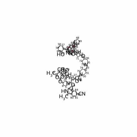 CC(NC(=O)[C@@H]1C[C@@H](OC(=O)OC(C)C(C)SS(C)(=O)=O)CN1C(=O)C(c1cc(N2CCC(CN3CCC(O[C@H]4C[C@H](Oc5cc(N6C7CCC6CN(c6cc(-c8ccccc8O)nnc6N)C7)ccn5)C4)CC3)CC2)no1)C(C)C)c1ccc(C#N)cc1